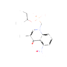 CCC(C)OP(=O)(O)Cn1cc(C)c(=O)c2c([N+](=O)[O-])cccc21